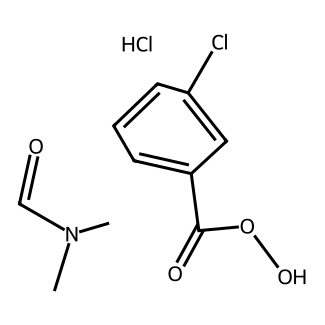 CN(C)C=O.Cl.O=C(OO)c1cccc(Cl)c1